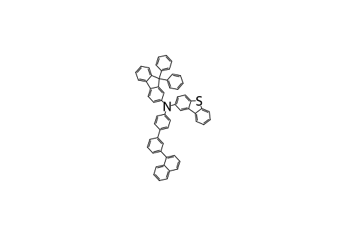 c1ccc(C2(c3ccccc3)c3ccccc3-c3ccc(N(c4ccc(-c5cccc(-c6cccc7ccccc67)c5)cc4)c4ccc5sc6ccccc6c5c4)cc32)cc1